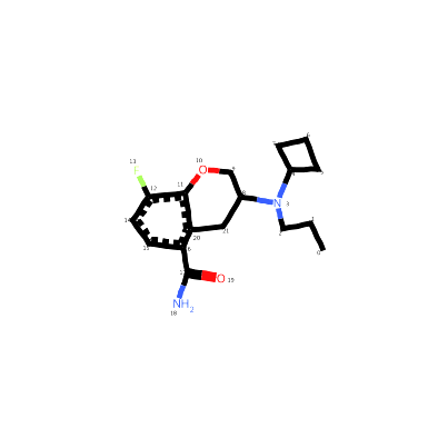 CCCN(C1CCC1)C1COc2c(F)ccc(C(N)=O)c2C1